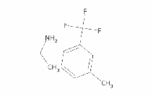 CCN.Cc1cccc(C(F)(F)F)c1